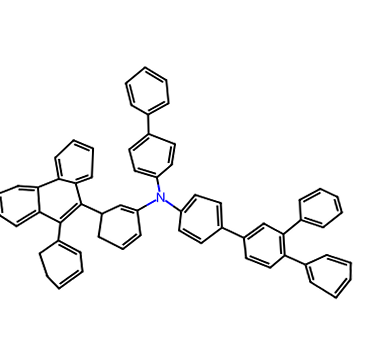 C1=CCCC(c2c(C3C=C(N(c4ccc(-c5ccccc5)cc4)c4ccc(-c5ccc(-c6ccccc6)c(-c6ccccc6)c5)cc4)C=CC3)c3ccccc3c3ccccc23)=C1